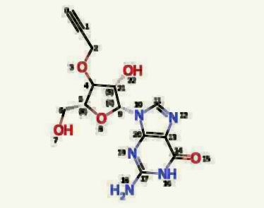 C#CCOC1[C@@H](CO)O[C@@H](n2cnc3c(=O)[nH]c(N)nc32)[C@H]1O